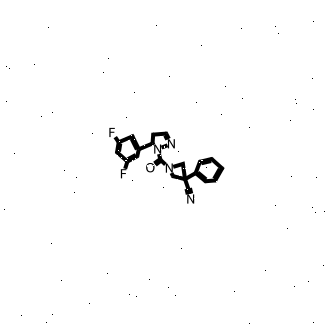 N#CC1(c2ccccc2)CN(C(=O)N2N=CCC2c2cc(F)cc(F)c2)C1